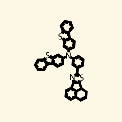 C1=Cc2cccc3c2C(C1)c1sc(-c2cccc(N(c4ccc5c(c4)sc4ccccc45)c4ccc5c(c4)sc4ccccc45)c2)nc1-3